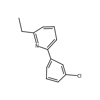 CCc1cccc(-c2cccc(Cl)c2)n1